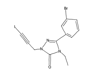 CCn1c(-c2cccc(Br)c2)nn(CC#CI)c1=O